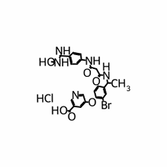 CC(NC(=O)CC(=O)Nc1ccc(C(=N)NO)cc1)c1ccc(Oc2cncc(C(=O)O)c2)c(Br)c1.Cl